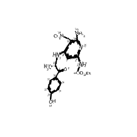 CCOC(=O)Nc1cc(N[C@@H](C)C(=O)c2ccc(O)cc2)c([N+](=O)[O-])c(N)n1